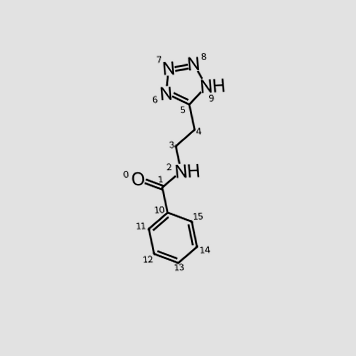 O=C(NCCc1nnn[nH]1)c1ccccc1